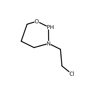 ClCCN1CCCOP1